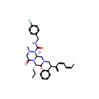 C=C(/C=C\C=C/C)C(CN1C[C@H]2N(C(=O)CN(C)N2C(=O)NCc2ccc(F)cc2)[C@@H](CCC)C1=O)c1ccccc1